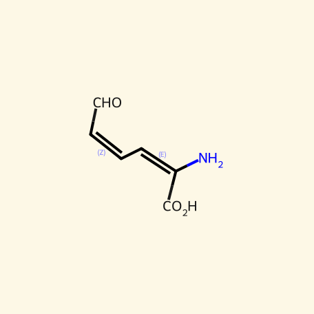 N/C(=C/C=C\C=O)C(=O)O